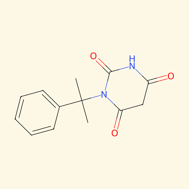 CC(C)(c1ccccc1)N1C(=O)CC(=O)NC1=O